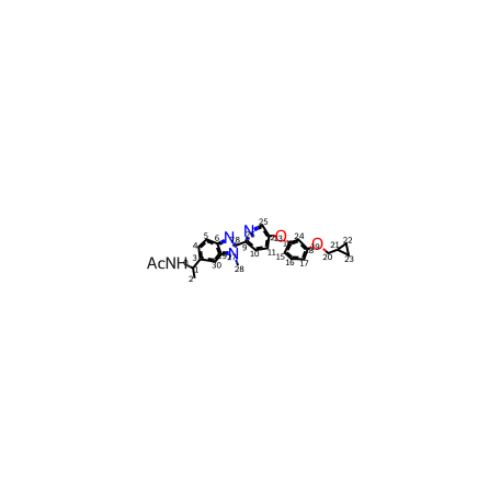 CC(=O)NC(C)c1ccc2nc(-c3ccc(Oc4cccc(OCC5CC5)c4)cn3)n(C)c2c1